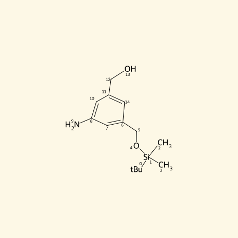 CC(C)(C)[Si](C)(C)OCc1cc(N)cc(CO)c1